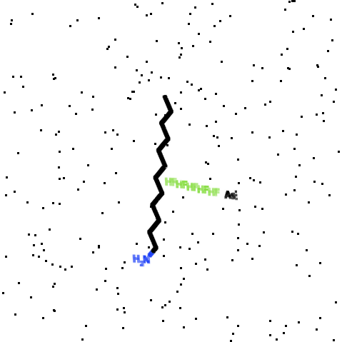 CCCCCCCCCCCCN.F.F.F.F.F.[As]